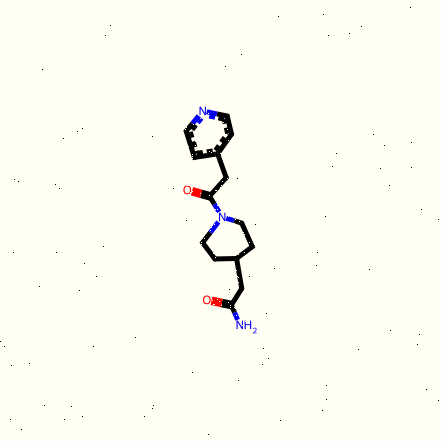 NC(=O)CC1CCN(C(=O)Cc2ccncc2)CC1